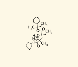 CCC(C)(CC(C)(C)C(=O)OC1CCCCC1)C(=O)OC(C)(CC)C1CCCCC1